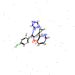 OC(C(c1ccc(F)cc1)n1cncn1)C1(c2ccccn2)CC1